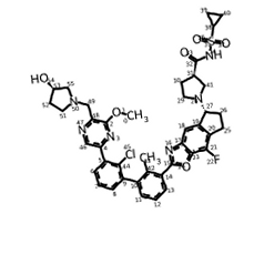 COc1nc(-c2cccc(-c3cccc(-c4nc5cc6c(c(F)c5o4)CC[C@H]6N4CC[C@@H](C(=O)NS(=O)(=O)C5CC5)C4)c3C)c2Cl)cnc1CN1CC[C@@H](O)C1